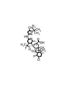 Cc1cc(Nc2cc(C(C)(C)F)c(F)c(C[C@@]3(C(=O)O)CCN(Cc4cccc(Cl)c4F)[C@@](C)(C(C)(C)C)C3)n2)nn1C(C)(C)C